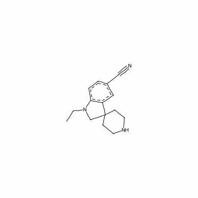 CCN1CC2(CCNCC2)c2cc(C#N)ccc21